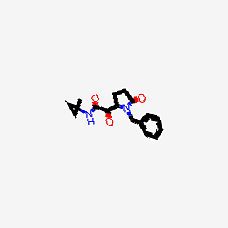 CC1(NC(=O)C(=O)C2CCC(=O)N2Cc2ccccc2)CC1